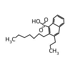 CCCCCCCc1c(CCC)cc2ccccc2c1S(=O)(=O)O